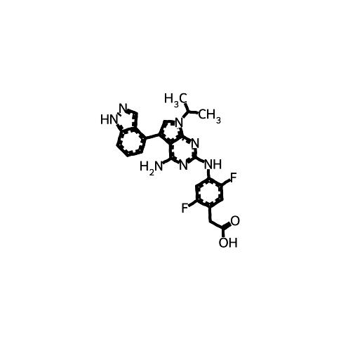 CC(C)n1cc(-c2cccc3[nH]ncc23)c2c(N)nc(Nc3cc(F)c(CC(=O)O)cc3F)nc21